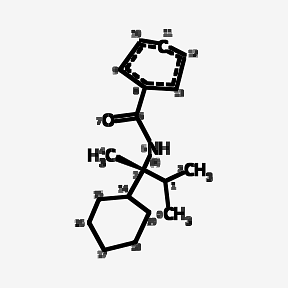 CC(C)[C@@](C)(NC(=O)c1ccccc1)C1CCCCC1